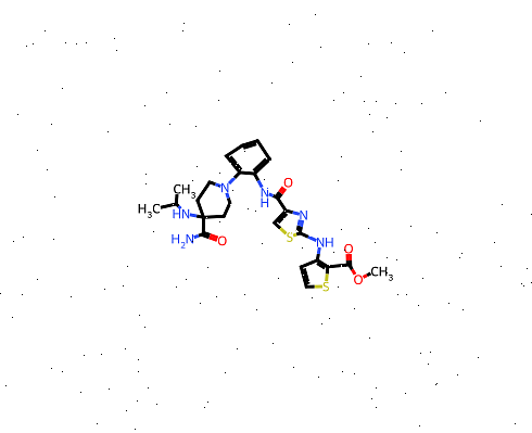 COC(=O)c1sccc1Nc1nc(C(=O)Nc2ccccc2N2CCC(NC(C)C)(C(N)=O)CC2)cs1